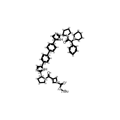 CC(C)(C)OC(=O)N1CC(C(=O)N2CCC[C@H]2c2ncc(-c3ccc(-c4ccc(-c5cnc([C@@H]6CCCN6C(=O)C(c6ccccc6)N6CCCCC6)[nH]5)cc4)cc3)[nH]2)C1